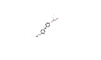 CCC(CC)(c1ccc(CCC(O)C(C)(C)C)c(C)c1)c1ccc(OCC(N)CCO)c(C)c1